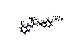 COc1ccc2ccc([C@H](CO)NC(=O)/C=C/c3c(F)cccc3F)cc2c1